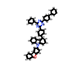 c1ccc(-c2ccc(-c3nc(-c4ccccc4)nc(-c4ccc(-c5cccc6c5c5ccccc5n6-c5ccc6oc7ccccc7c6c5)cc4)n3)cc2)cc1